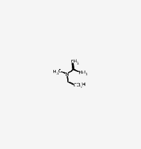 C=C(N)N(C)CC(=O)O